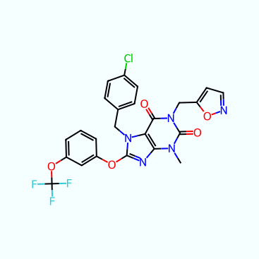 Cn1c(=O)n(Cc2ccno2)c(=O)c2c1nc(Oc1cccc(OC(F)(F)F)c1)n2Cc1ccc(Cl)cc1